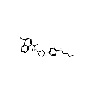 CCCCOc1ccc([C@H]2CCC(N[C@H](C)c3ccc(F)c4ccccc34)C2)cc1